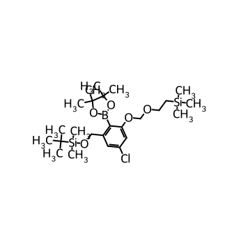 CC1(C)OB(c2c(CO[Si](C)(C)C(C)(C)C)cc(Cl)cc2OCOCC[Si](C)(C)C)OC1(C)C